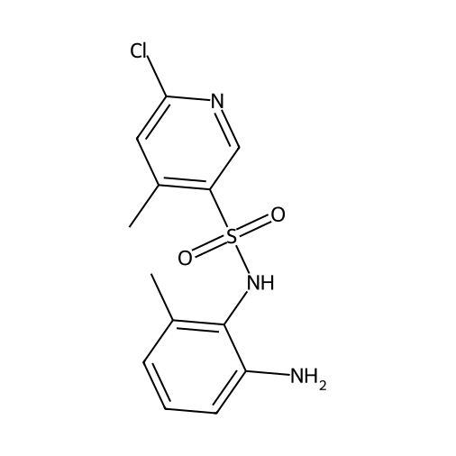 Cc1cc(Cl)ncc1S(=O)(=O)Nc1c(C)cccc1N